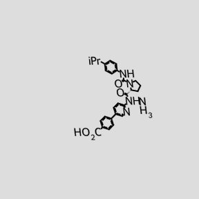 CC(C)c1ccc(NC(=O)N2CCC[C@@H]2C(=O)Nc2ccc(-c3ccc(C(=O)O)cc3)cn2)cc1.N